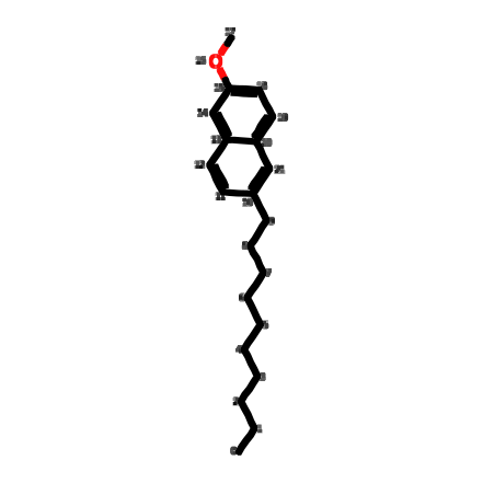 CCCCCCCCCCc1ccc2cc(OC)ccc2c1